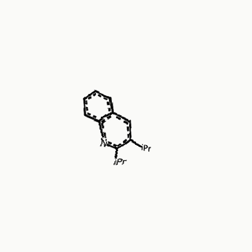 CC(C)c1cc2ccccc2nc1C(C)C